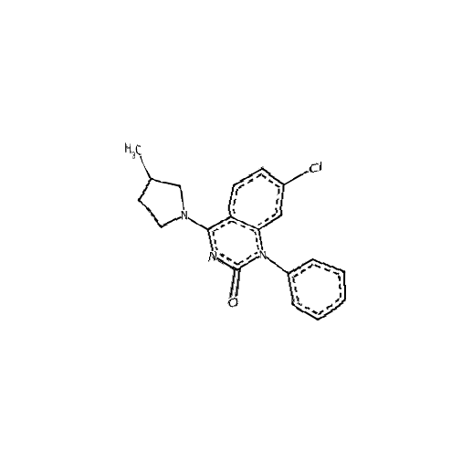 CC1CCN(c2nc(=O)n(-c3ccccc3)c3cc(Cl)ccc23)C1